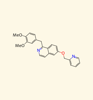 COc1ccc(Cc2nccc3cc(OCc4ccccn4)ccc23)cc1OC